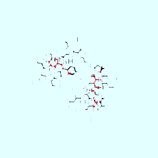 CC(C)C[C@H](NC(=O)[C@H](CC(N)=O)NC(=O)[C@@H](NC(=O)[C@H](CC(C)C)NC(=O)[C@@H](NC(=O)[C@@H](NC(=O)[C@H](C)NC(=O)[C@@H](N)CC(N)=O)C(C)C)C(C)C)[C@@H](C)O)C(=O)N[C@@H](CC(C)C)C(=O)N1CCC[C@H]1C(=O)NCC(=O)N[C@H](C(=O)N[C@@H](CCC(=O)O)C(=O)N[C@@H](Cc1ccc(O)cc1)C(=O)N[C@H](C(=O)N[C@H](C(=O)N[C@@H](CO)C(=O)N[C@H](C(=O)N[C@@H](CO)C(=O)N[C@@H](CO)C(=O)O)C(C)C)C(C)C)C(C)C)[C@@H](C)O